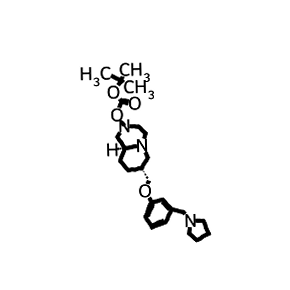 CC(C)(C)OC(=O)ON1CCN2C[C@H](COc3cccc(CN4CCCC4)c3)CC[C@H]2C1